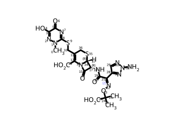 Cn1nc(O)c(=O)nc1SCC1=C(C(=O)O)N2C(=O)[C@@H](NC(=O)/C(=N\OC(C)(C)C(=O)O)c3cnn(N)n3)[C@H]2SC1